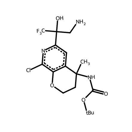 CC(C)(C)OC(=O)NC1(C)CCOc2c1cc(C(O)(CN)C(F)(F)F)nc2Cl